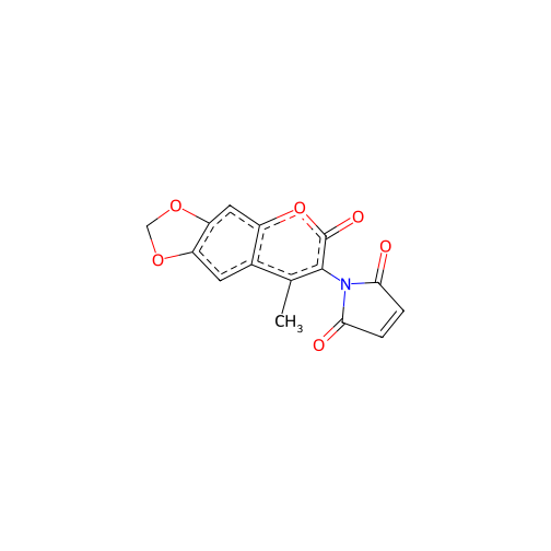 Cc1c(N2C(=O)C=CC2=O)c(=O)oc2cc3c(cc12)OCO3